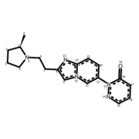 C[C@@H]1CCCN1CCc1cn2cc(-n3ncccc3=O)ccc2n1